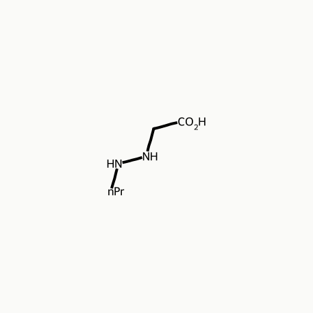 [CH2]CCNNCC(=O)O